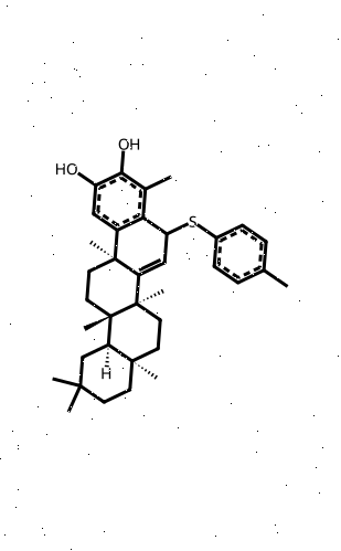 Cc1ccc(SC2C=C3[C@@](C)(CC[C@@]4(C)[C@@H]5CC(C)(C)CC[C@]5(C)CC[C@]34C)c3cc(O)c(O)c(C)c32)cc1